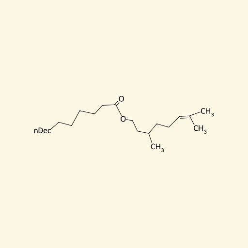 CCCCCCCCCCCCCCCC(=O)OCCC(C)CCC=C(C)C